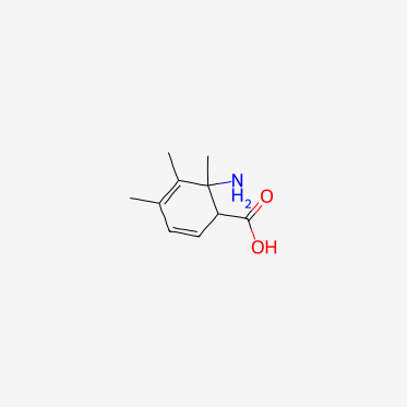 CC1=C(C)C(C)(N)C(C(=O)O)C=C1